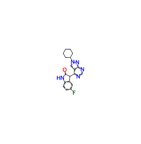 O=C1Nc2ccc(F)cc2C1c1ncnc2nn(C3CCCCC3)cc12